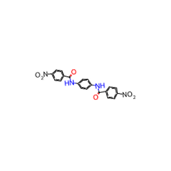 O=C(Nc1ccc(NC(=O)c2ccc([N+](=O)[O-])cc2)cc1)c1ccc([N+](=O)[O-])cc1